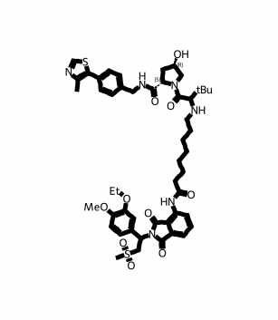 CCOc1cc(C(CS(C)(=O)=O)N2C(=O)c3cccc(NC(=O)CCCCCCCNC(C(=O)N4C[C@H](O)C[C@H]4C(=O)NCc4ccc(-c5scnc5C)cc4)C(C)(C)C)c3C2=O)ccc1OC